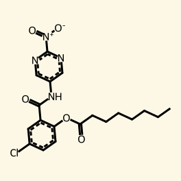 CCCCCCCC(=O)Oc1ccc(Cl)cc1C(=O)Nc1cnc([N+](=O)[O-])nc1